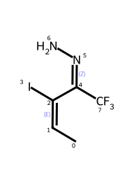 C/C=C(I)\C(=N/N)C(F)(F)F